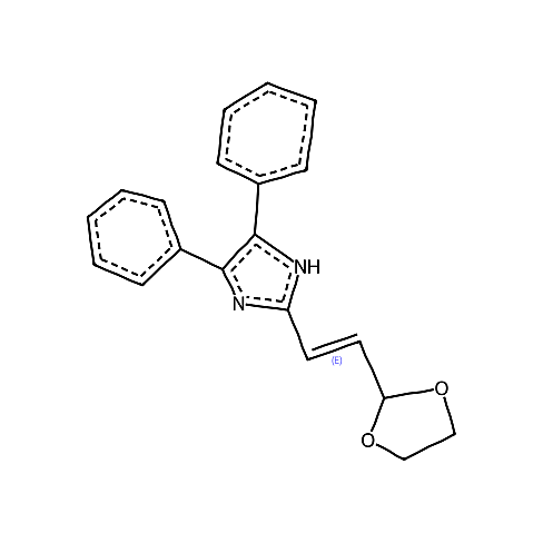 C(=C\C1OCCO1)/c1nc(-c2ccccc2)c(-c2ccccc2)[nH]1